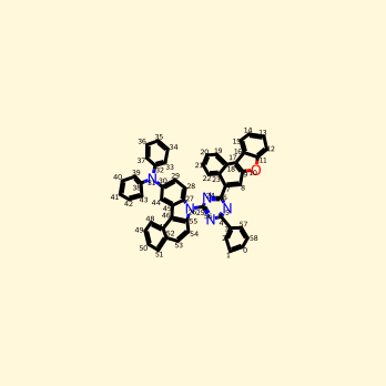 c1ccc(-c2nc(-c3cc4oc5ccccc5c4c4ccccc34)nc(-n3c4ccc(N(c5ccccc5)c5ccccc5)cc4c4c5ccccc5ccc43)n2)cc1